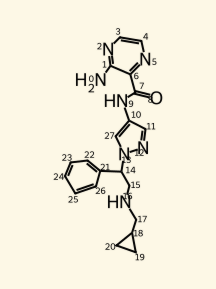 Nc1nccnc1C(=O)Nc1cnn(C(CNCC2CC2)c2ccccc2)c1